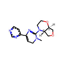 CN1CC=C(c2ccncn2)N=C1N1CCO[C@H]2COC[C@@H]21